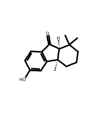 CC1(C)CCC[C@@]2(C)c3cc(O)ccc3C(=O)[C@@H]12